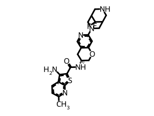 Cc1ccc2c(N)c(C(=O)N[C@H]3COc4cc(N5CC6CNCC(C5)C6(F)F)ncc4C3)sc2n1